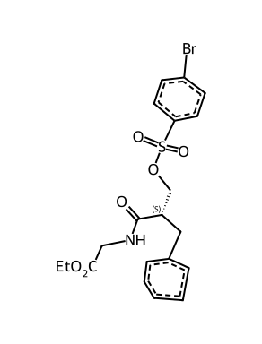 CCOC(=O)CNC(=O)[C@H](COS(=O)(=O)c1ccc(Br)cc1)Cc1ccccc1